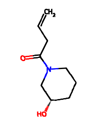 C=CCC(=O)N1CCC[C@H](O)C1